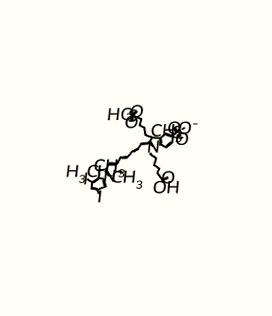 C[N+]1=C(C=CC=CC=CC=C2N(CCCCCC(=O)O)c3ccc(S(=O)(=O)[O-])cc3C2(C)CCCCS(=O)(=O)O)C(C)(C)c2c(I)cc(I)cc21